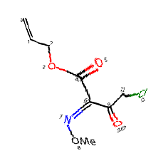 C=CCOC(=O)C(=NOC)C(=O)CCl